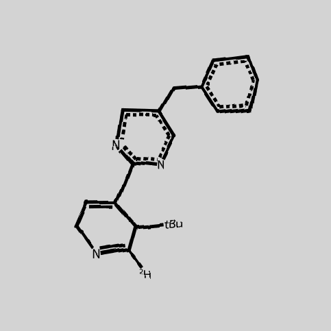 [2H]C1=NCC=C(c2ncc(Cc3ccccc3)cn2)C1C(C)(C)C